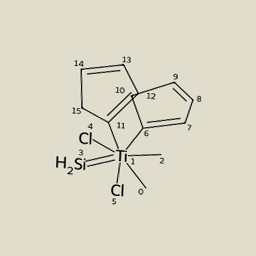 [CH3][Ti]([CH3])(=[SiH2])([Cl])([Cl])([C]1=CC=CC1)[C]1=CC=CC1